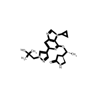 C[C@@H](Oc1nc(-c2cnn(CC(C)(C)O)c2)cc2ncn(C3CC3)c12)[C@H]1CNC(=O)C1